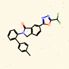 Cc1ccc(-c2ccccc2N2Cc3ccc(-c4nnc(C(F)F)o4)cc3C2=O)cc1